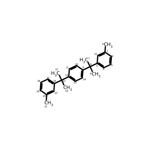 Cc1[c]ccc(C(C)(C)c2ccc(C(C)(C)c3cc[c]c(C)c3)cc2)c1